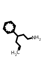 C=CCC(CCN)c1ccccc1